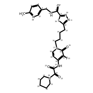 Cc1ccc(CNC(=O)c2nnc(CCCCn3ccc(NC(=O)C(=O)N4CCCCC4)c(F)c3=O)s2)cn1